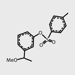 COC(C)c1cccc(OS(=O)(=O)c2ccc(C)cc2)c1